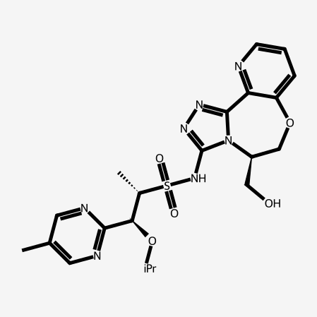 Cc1cnc([C@H](OC(C)C)[C@H](C)S(=O)(=O)Nc2nnc3n2[C@H](CO)COc2cccnc2-3)nc1